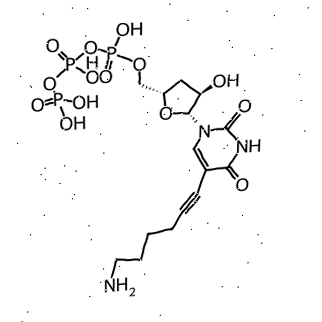 NCCCCC#Cc1cn([C@@H]2O[C@H](COP(=O)(O)OP(=O)(O)OP(=O)(O)O)C[C@H]2O)c(=O)[nH]c1=O